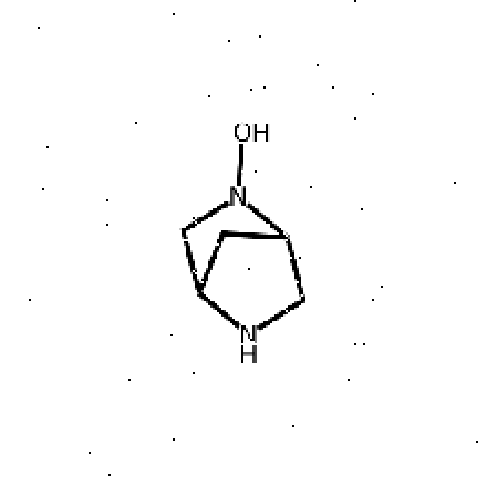 ON1CC2CC1CN2